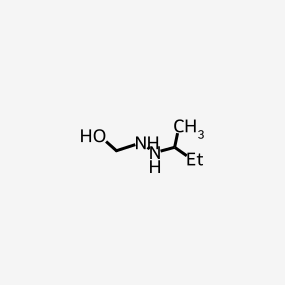 CCC(C)NNCO